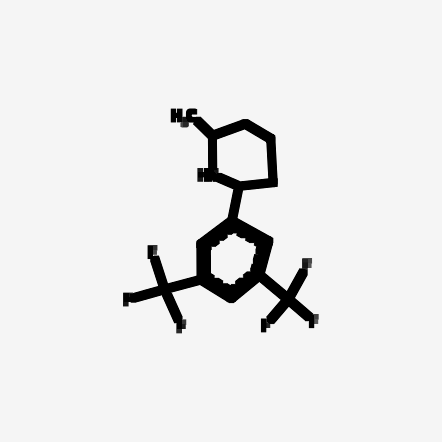 CC1CCCC(c2cc(C(F)(F)F)cc(C(F)(F)F)c2)N1